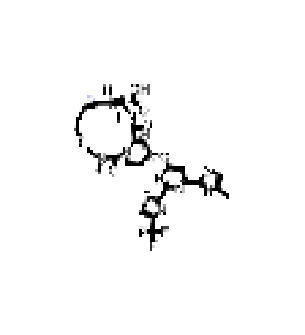 Cc1csc(-c2cc(O[C@H]3CCN4C(=O)N(C)CCCC/C=C\[C@H]5C[C@@]5(C(=O)O)NC(=O)[C@@H]4C3)nc(-c3nc(C(F)(F)F)cs3)n2)n1